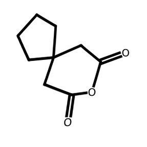 O=C1CC2(CCCC2)CC(=O)O1